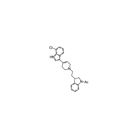 CC(=O)N1CC(CCN2CC=C(c3c[nH]c4c(Cl)cccc34)CC2)c2ccccc21